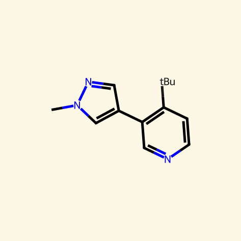 Cn1cc(-c2cnccc2C(C)(C)C)cn1